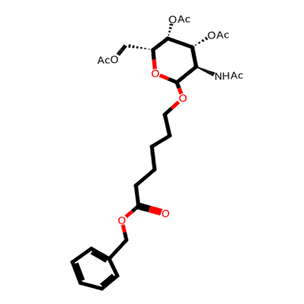 CC(=O)N[C@H]1C(OCCCCCC(=O)OCc2ccccc2)O[C@H](COC(C)=O)[C@H](OC(C)=O)[C@@H]1OC(C)=O